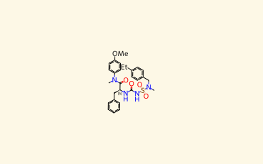 CCc1ccc(CN(C)S(=O)(=O)NC(=O)N[C@@H](Cc2ccccc2)C(=O)N(C)c2ccc(OC)cc2)cc1